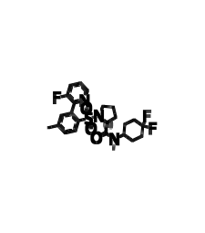 Cc1ccc(S(=O)(=O)N2CCC[C@H]2C(=O)N(C)C2CCC(F)(F)CC2)c(-c2ncccc2F)c1